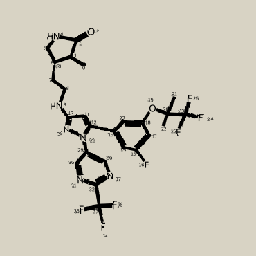 CC1C(=O)NC[C@@H]1CCNc1cc(-c2cc(F)cc(OC(C)(C)C(F)(F)F)c2)n(-c2cnc(C(F)(F)F)nc2)n1